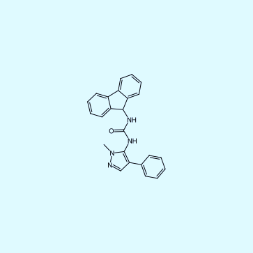 Cn1ncc(-c2ccccc2)c1NC(=O)NC1c2ccccc2-c2ccccc21